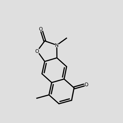 CC1=C2C=C3OC(=O)N(C)C3C=C2C(=O)C=C1